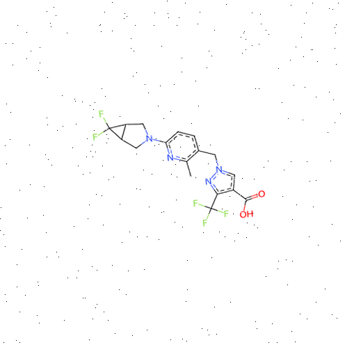 Cc1nc(N2CC3C(C2)C3(F)F)ccc1Cn1cc(C(=O)O)c(C(F)(F)F)n1